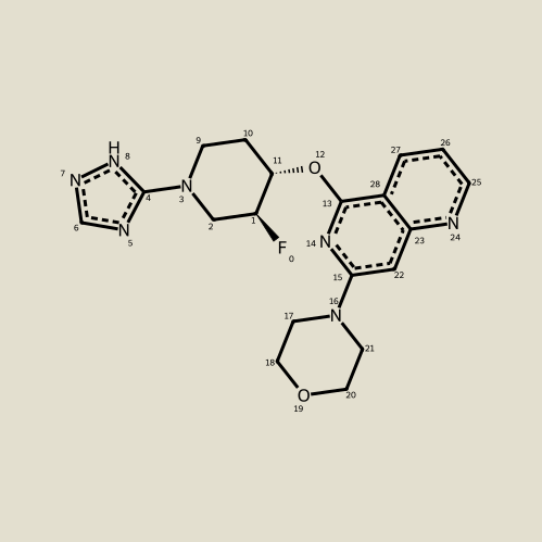 F[C@H]1CN(c2ncn[nH]2)CC[C@@H]1Oc1nc(N2CCOCC2)cc2ncccc12